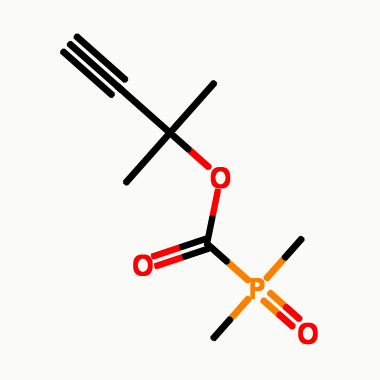 C#CC(C)(C)OC(=O)P(C)(C)=O